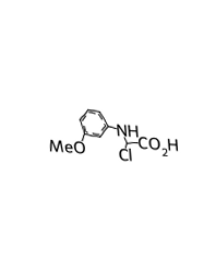 COc1cccc(NC(Cl)C(=O)O)c1